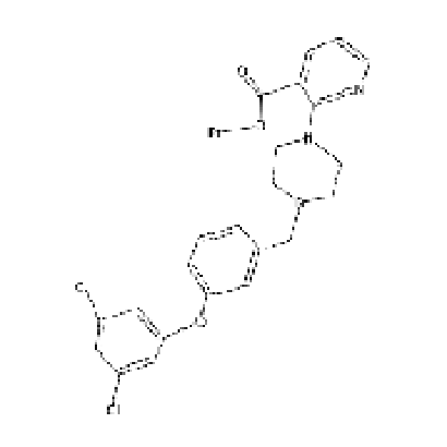 CC(C)OC(=O)c1cccnc1N1CCN(Cc2cccc(Oc3cc(Cl)cc(Cl)c3)c2)CC1